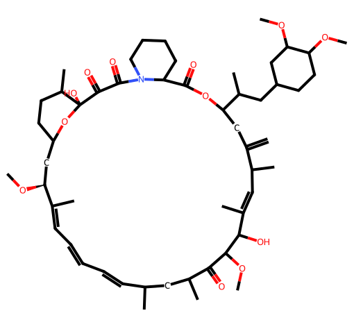 C=C1CC(C(C)CC2CCC(OC)C(OC)C2)OC(=O)C2CCCCN2C(=O)C(=O)C2(O)OC(CCC2C)C[C@H](OC)/C(C)=C/C=C/C=C/C(C)CC(C)C(=O)C(OC)C(O)/C(C)=C/C1C